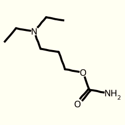 CCN(CC)CCCOC(N)=O